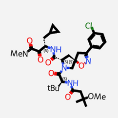 CNC(=O)C(=O)[C@H](CC1CC1)NC(=O)[C@@H]1C[C@]2(CC(c3cccc(Cl)c3)=NO2)CN1C(=O)[C@@H](NC(=O)CC(C)(C)OC)C(C)(C)C